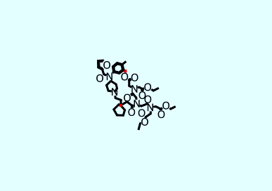 CCOC(=O)CN(CC(=O)OCC)C(=O)CN(CC(=O)N(CC(=O)OCC)CC(=O)OCC)C(=O)CC1(CCN2CCC(N(C(=O)c3ccco3)c3ccc(C)cc3)CC2)CCCCC1